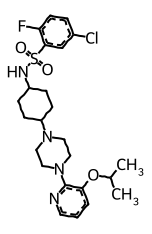 CC(C)Oc1cccnc1N1CCN(C2CCC(NS(=O)(=O)c3cc(Cl)ccc3F)CC2)CC1